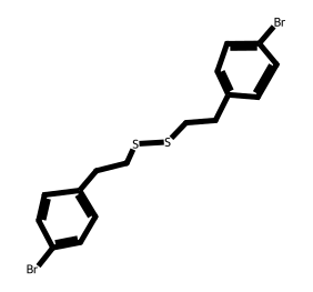 Brc1ccc(CCSSCCc2ccc(Br)cc2)cc1